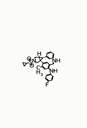 Cc1cc(Nc2ccc(F)cc2)c(C=N)cc1[C@@]12CN(S(=O)(=O)C3CC3)C[C@@H]1[C@H]2c1ccccc1